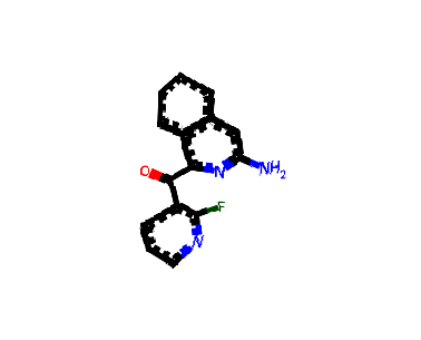 Nc1cc2ccccc2c(C(=O)c2cccnc2F)n1